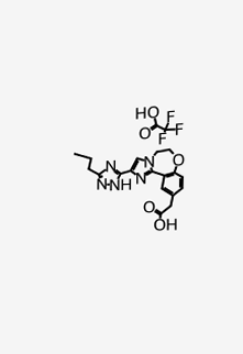 CCCc1n[nH]c(-c2cn3c(n2)-c2cc(CC(=O)O)ccc2OCC3)n1.O=C(O)C(F)(F)F